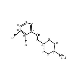 NC1CCC(COc2cccc(F)c2F)CC1